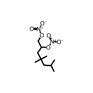 CC(C)CC(C)(C)CC(CO[N+](=O)[O-])O[N+](=O)[O-]